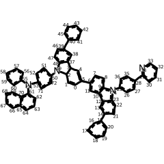 C1=CC2C(C=C1c1ccc3c(c1)c1cc(-c4ccccc4)ccc1n3-c1ccc(-c3ccccn3)cc1)c1cc(-c3ccccc3)ccc1N2c1ccc(N(c2ccccc2)c2cccc3ccccc23)cc1